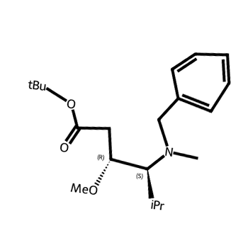 CO[C@H](CC(=O)OC(C)(C)C)[C@H](C(C)C)N(C)Cc1ccccc1